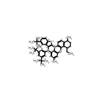 CCC1CCC(C)c2ccc3c(c21)Oc1cc(C)cc2c1B3c1sc3ccc(C(C)(C)C)cc3c1N2c1cc(C(C)(C)C)cc(C(C)(C)C)c1